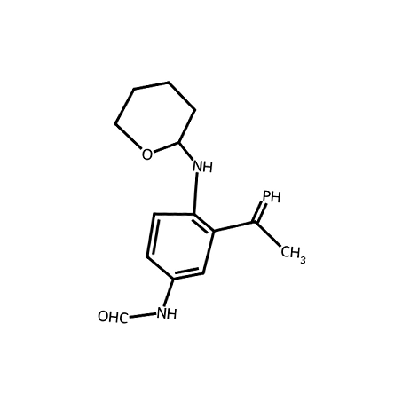 CC(=P)c1cc(NC=O)ccc1NC1CCCCO1